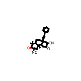 [C-]#[N+]C1=CC2(C)C3=CC(=O)C(C#N)=CC3(C#Cc3ccccc3)CCC2C(C)(C)C1=O